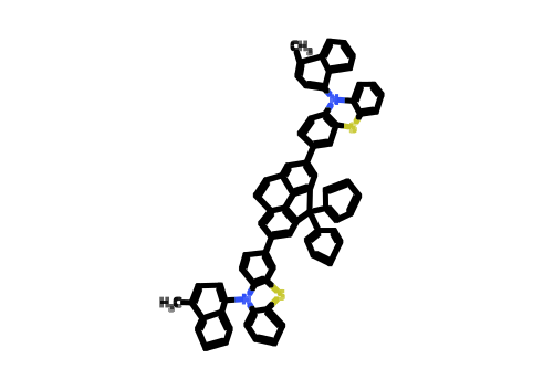 Cc1ccc(N2c3ccccc3Sc3cc(-c4cc5c6c(ccc7cc(-c8ccc9c(c8)Sc8ccccc8N9c8ccc(C)c9ccccc89)cc(c76)C5(c5ccccc5)c5ccccc5)c4)ccc32)c2ccccc12